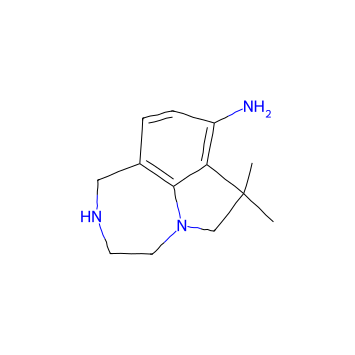 CC1(C)CN2CCNCc3ccc(N)c1c32